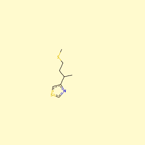 CSCCC(C)c1cscn1